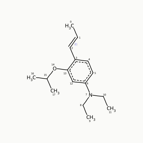 C/C=C/c1ccc(N(CC)CC)cc1OC(C)C